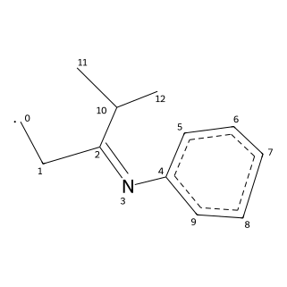 [CH2]CC(=Nc1ccccc1)C(C)C